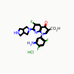 Cl.Nc1cc(-n2cc(C(=O)O)c(=O)c3cc(F)c(N4CC5CNCC5C4)nc32)c(F)cc1F